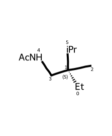 CC[C@](C)(CNC(C)=O)C(C)C